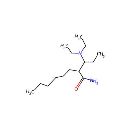 CCCCCCC(C(N)=O)C(CC)N(CC)CC